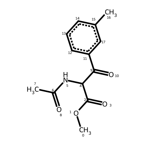 COC(=O)C(NC(C)=O)C(=O)c1cccc(C)c1